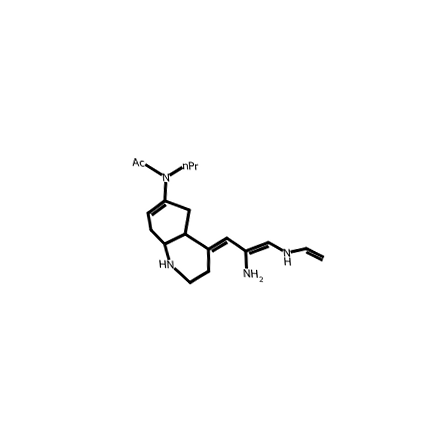 C=CN/C=C(N)/C=C1\CCNC2CC=C(N(CCC)C(C)=O)CC12